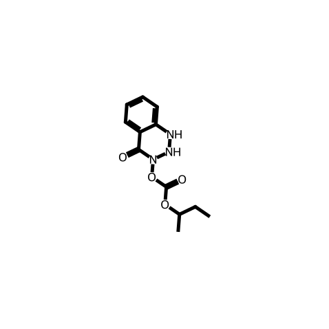 CCC(C)OC(=O)ON1NNc2ccccc2C1=O